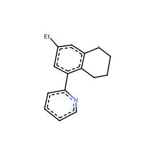 CCc1cc2c(c(-c3ccccn3)c1)CCC[C]2